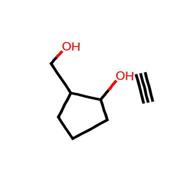 C#C.OCC1CCCC1O